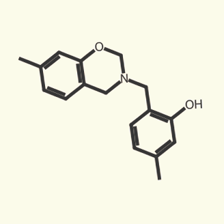 Cc1ccc(CN2COc3cc(C)ccc3C2)c(O)c1